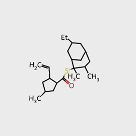 C=CC1CC(C)CC1C(=O)SC1(C)C(C)CC2CC(CC)CC1C2